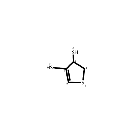 SC1=CSCC1S